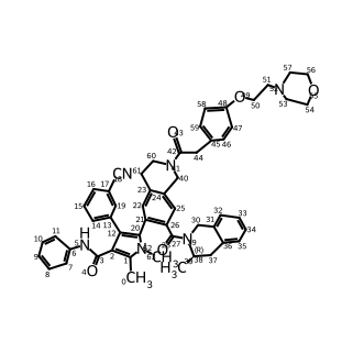 Cc1c(C(=O)Nc2ccccc2)c(-c2cccc(C#N)c2)c(-c2cc3c(cc2C(=O)N2Cc4ccccc4C[C@H]2C)CN(C(=O)Cc2ccc(OCCN4CCOCC4)cc2)CC3)n1C